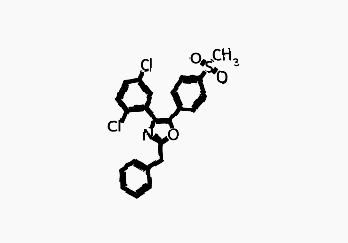 CS(=O)(=O)c1ccc(-c2oc(Cc3ccccc3)nc2-c2cc(Cl)ccc2Cl)cc1